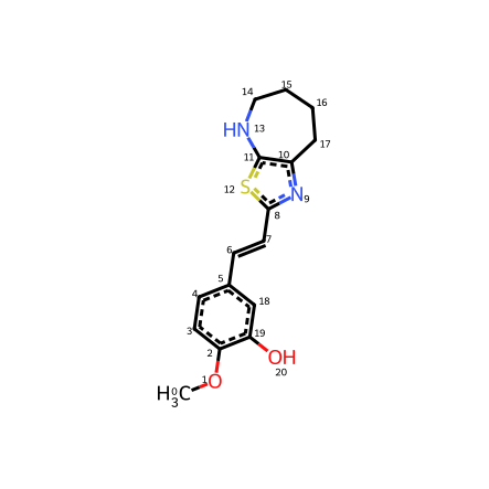 COc1ccc(/C=C/c2nc3c(s2)NCCCC3)cc1O